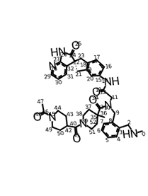 CNCc1ccccc1CN(CC(=O)Nc1ccc2c(c1)C[C@@]1(C2)C(=O)Nc2ncccc21)C(=O)C1(C)CCN(C(=O)C2CCN(C(C)=O)CC2)CC1